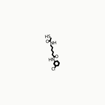 O=C(CS)NCCCCCC(=O)Nc1cccc(Cl)c1